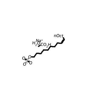 CC(=O)O.CCCCCCCC/C=C\CCCCCCCCOS(=O)(=O)[O-].O.[Na+]